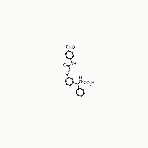 O=Cc1ccc(NC(=O)COc2cccc(C(NC(=O)O)c3ccccc3)c2)cc1